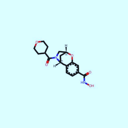 O=C(NO)c1ccc2c(c1)O[C@@H]1C[C@H]2N(C(=O)C2CCOCC2)C1